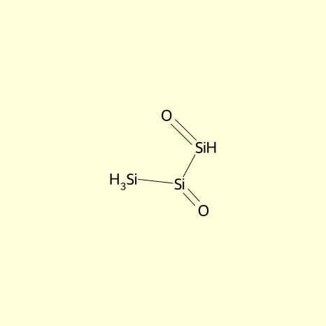 O=[SiH][Si](=O)[SiH3]